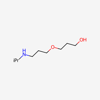 CC(C)NCCCOCCCO